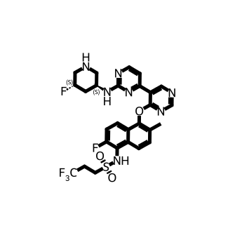 Cc1ccc2c(NS(=O)(=O)CCC(F)(F)F)c(F)ccc2c1Oc1ncncc1-c1ccnc(N[C@@H]2CNC[C@@H](F)C2)n1